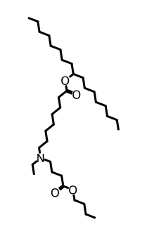 CCCCCCCCC(CCCCCCCC)OC(=O)CCCCCCCN(CC)CCCC(=O)OCCCC